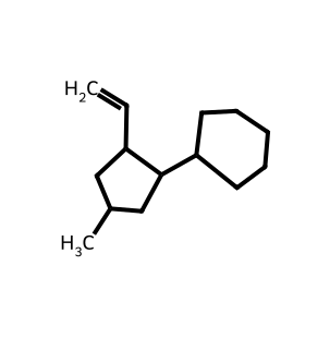 C=CC1CC(C)CC1C1CCCCC1